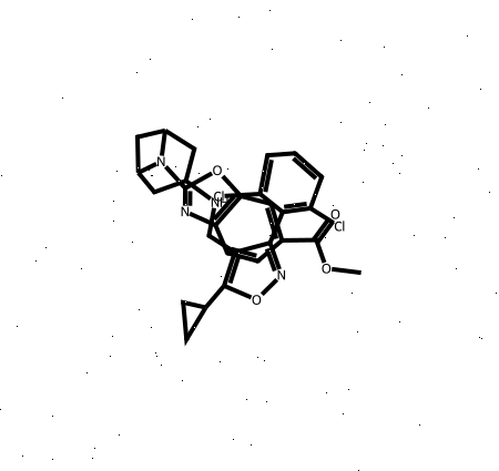 COC(=O)c1ccc2nc(N3C4CC(NCc5c(-c6c(Cl)cccc6Cl)noc5C5CC5)CC3C4)oc2c1